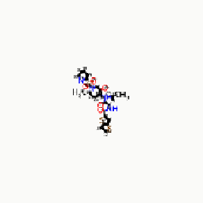 CC(C)C[C@H](NC(=O)c1cc2sccc2s1)C(=O)N[C@H]1CC[C@@H](C)N(S(=O)(=O)c2ccccn2)CC1=O